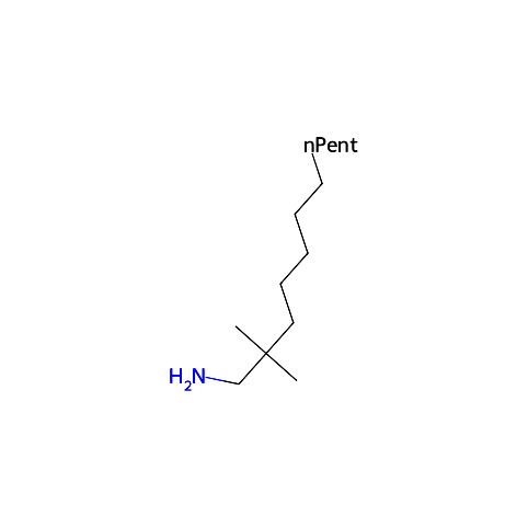 CCCCCCCCCCC(C)(C)CN